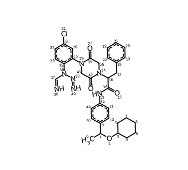 CC(OC1CCCCC1)c1ccc(NC(=O)C(Cc2ccccc2)N2CC(=O)N(c3cc(Cl)ccc3N(C=N)N=N)CC2=O)cc1